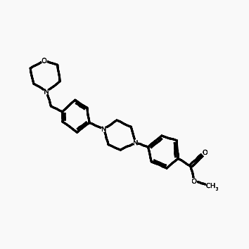 COC(=O)c1ccc(N2CCN(c3ccc(CN4CCOCC4)cc3)CC2)cc1